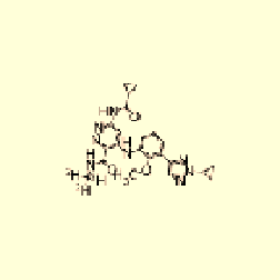 [2H]C([2H])([2H])NC(=O)c1nnc(NC(=O)C2CC2)cc1Nc1cccc(-c2cnn(C3CC3)n2)c1OC